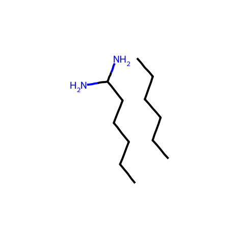 CCCCCC.CCCCCC(N)N